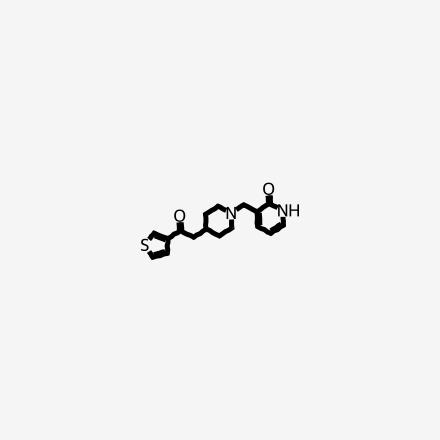 O=C(CC1CCN(Cc2ccc[nH]c2=O)CC1)c1ccsc1